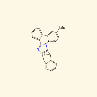 CC(C)(C)c1ccc2c(c1)c1ccccc1c1nc3c(n21)C1CC3c2ccccc21